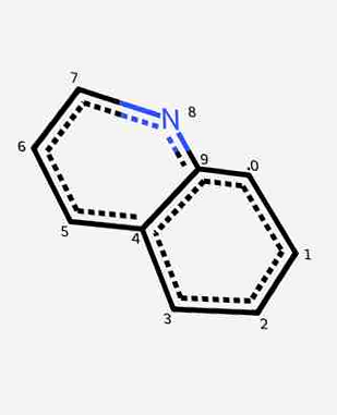 [c]1cccc2cccnc12